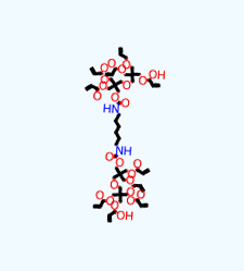 C=CCOCC(COCC(COC(=O)C=C)(COC(=O)C=C)COC(=O)NCCCCCCNC(=O)OCC(COCC(COC(=O)C=C)(COC(=O)C=C)COC(O)C=C)(COC(=O)C=C)COC(=O)C=C)(COC(=O)C=C)CO[C@H](O)C=C